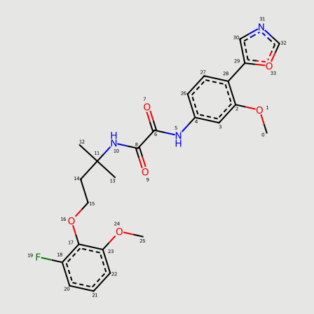 COc1cc(NC(=O)C(=O)NC(C)(C)CCOc2c(F)cccc2OC)ccc1-c1cnco1